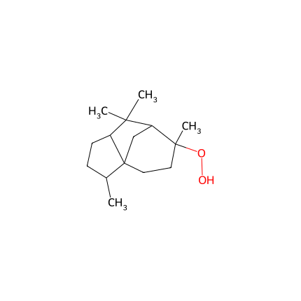 CC1CCC2C(C)(C)C3CC12CCC3(C)OO